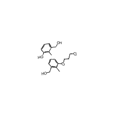 Cc1c(CO)cccc1OCCCCl.Cc1c(O)cccc1CO